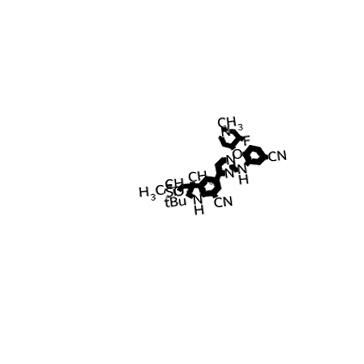 CN1CCC(Oc2ccc(C#N)cc2Nc2nccc(-c3cc(C#N)c4c(c3)C(C)(CO[Si](C)(C)C(C)(C)C)CN4)n2)C(F)C1